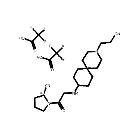 N#C[C@@H]1CCCN1C(=O)CNC1CCC2(CC1)CCN(CCO)CC2.O=C(O)C(F)(F)F.O=C(O)C(F)(F)F